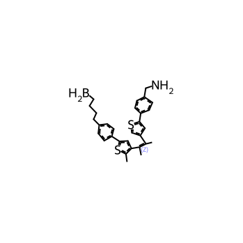 BCCCCc1ccc(-c2cc(/C(C)=C(/C)c3csc(-c4ccc(CN)cc4)c3)c(C)s2)cc1